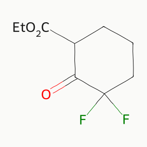 CCOC(=O)C1CCCC(F)(F)C1=O